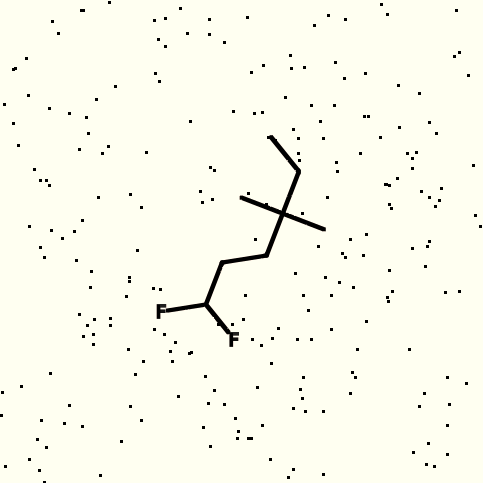 CCC(C)(C)CCC(F)F